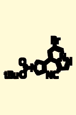 CC(C)(C)OC(=O)N1CC=C(c2cc(Br)cn3ncc(C#N)c23)C1